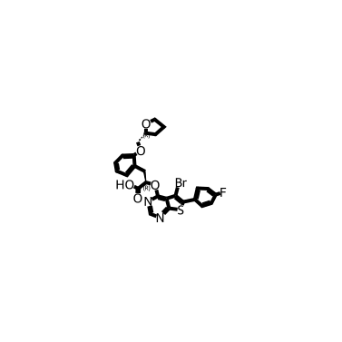 O=C(O)[C@@H](Cc1ccccc1OC[C@H]1CCCO1)Oc1ncnc2sc(-c3ccc(F)cc3)c(Br)c12